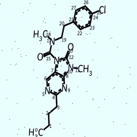 CCCCc1ncc2c(n1)n(C)c(=O)n2C(=O)N(C)CCc1ccc(Cl)cc1